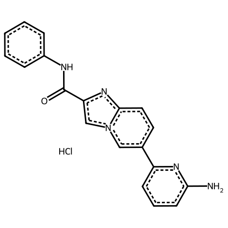 Cl.Nc1cccc(-c2ccc3nc(C(=O)Nc4ccccc4)cn3c2)n1